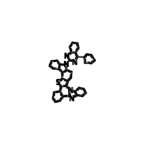 c1ccc(-c2nc(-n3c4ccccc4c4c5sc6c7ccccc7c7nc8ccccc8n7c6c5ccc43)nc3ccccc23)cc1